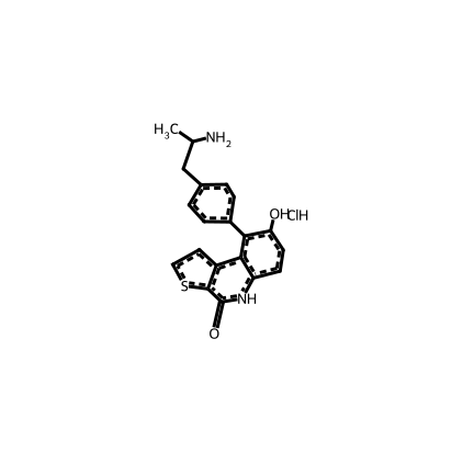 CC(N)Cc1ccc(-c2c(O)ccc3[nH]c(=O)c4sccc4c23)cc1.Cl